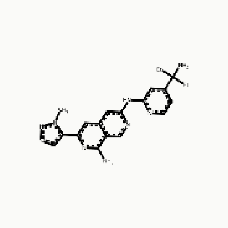 CCC(N)(CC)c1ccnc(Nc2cc3cc(-c4cnnn4C)nc(N)c3cn2)c1